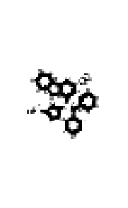 CCCC1=CC[C]([Zr+2](=[C](c2ccccc2)c2ccccc2)[c]2cccc3c2Cc2ccccc2-3)=C1.[Cl-].[Cl-]